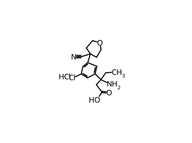 CCC(N)(CC(=O)O)c1cc(Cl)cc(C2(C#N)CCOCC2)c1.Cl